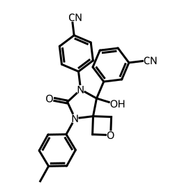 Cc1ccc(N2C(=O)N(c3ccc(C#N)cc3)C(O)(c3cccc(C#N)c3)C23COC3)cc1